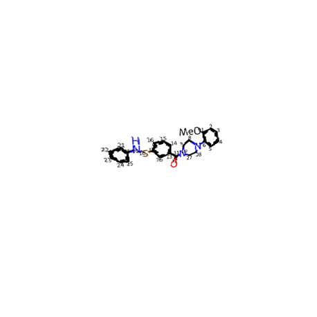 COc1ccccc1N1CCN(C(=O)c2cccc(SNc3ccccc3)c2)CC1